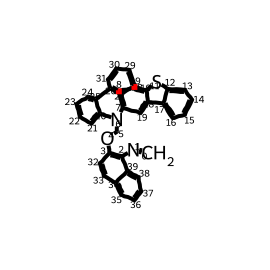 C=Nc1c(OCN(c2ccc3sc4ccccc4c3c2)c2ccccc2-c2ccccc2)ccc2ccccc12